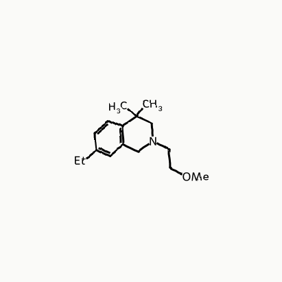 CCc1ccc2c(c1)CN(CCOC)CC2(C)C